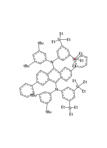 CC[Si](CC)(CC)c1cc(N(c2cc(C(C)(C)C)cc(C(C)(C)C)c2)c2c3ccc(-c4ccccc4)cc3c(N(c3cc(C(C)(C)C)cc(C(C)(C)C)c3)c3cc([Si](CC)(CC)CC)cc([Si](CC)(CC)CC)c3)c3ccc(-c4ccccc4)cc23)cc([Si](CC)(CC)CC)c1